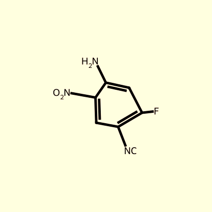 [C-]#[N+]c1cc([N+](=O)[O-])c(N)cc1F